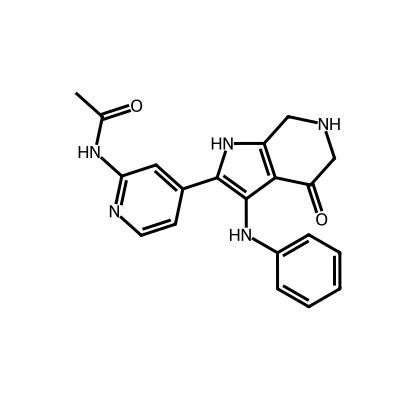 CC(=O)Nc1cc(-c2[nH]c3c(c2Nc2ccccc2)C(=O)CNC3)ccn1